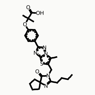 CCCCC1=NC2(CCCC2)C(=O)N1Cc1sc2nc(-c3ccc(OC(C)(C)C(=O)O)cc3)nn2c1C